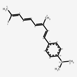 CC(F)=CC=CC=C(C)C=Cc1ccc(N(C)C)cc1